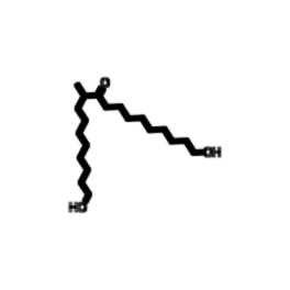 CC(CCCCCCCCO)C(=O)CCCCCCCCCO